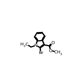 CCn1c(Br)c(C(=O)OC)c2ccccc21